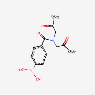 COC(=O)CN(CC(=O)OC)C(=O)c1ccc(B(O)O)cc1